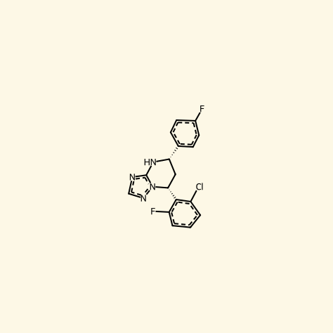 Fc1ccc([C@@H]2C[C@H](c3c(F)cccc3Cl)n3ncnc3N2)cc1